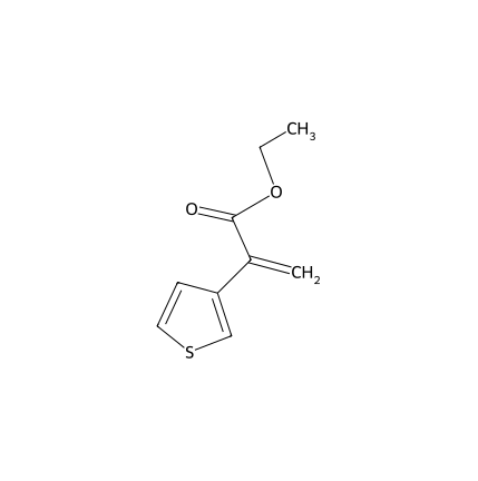 C=C(C(=O)OCC)c1ccsc1